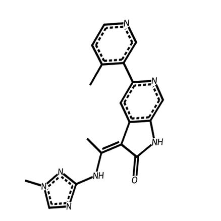 C/C(Nc1ncn(C)n1)=C1/C(=O)Nc2cnc(-c3cnccc3C)cc21